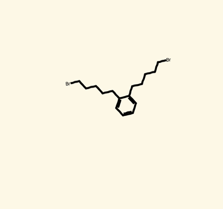 BrCCCCCc1ccccc1CCCCCBr